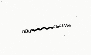 CCCCC=CC=CCCCCOCOC